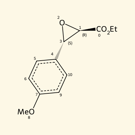 CCOC(=O)[C@@H]1O[C@H]1c1ccc(OC)cc1